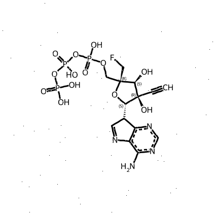 C#C[C@@]1(O)[C@H](O)[C@@](CF)(COP(=O)(O)OP(=O)(O)OP(=O)(O)O)O[C@H]1C1C=Nc2c(N)ncnc21